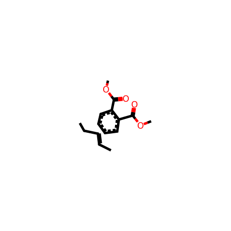 CC=CCC.COC(=O)c1ccccc1C(=O)OC